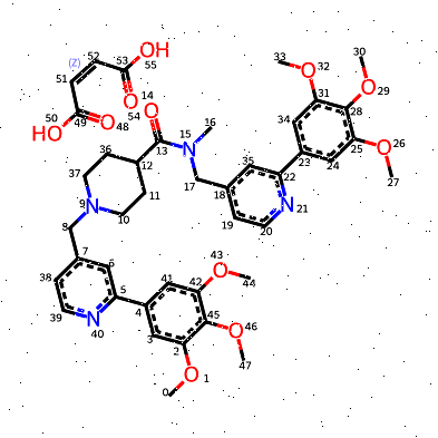 COc1cc(-c2cc(CN3CCC(C(=O)N(C)Cc4ccnc(-c5cc(OC)c(OC)c(OC)c5)c4)CC3)ccn2)cc(OC)c1OC.O=C(O)/C=C\C(=O)O